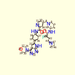 O=C(N[C@H]1CCCN(Cc2ccnc(C(=O)Nc3ccc(-c4cc5c(N6CCOCC6)ncnc5[nH]4)cc3)c2)C1)/C(F)=C/CN1CCC1